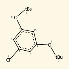 CC(C)(C)Oc1cc(Cl)cc(OC(C)(C)C)c1